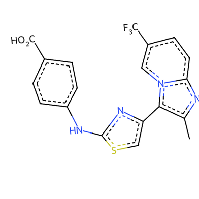 Cc1nc2ccc(C(F)(F)F)cn2c1-c1csc(Nc2ccc(C(=O)O)cc2)n1